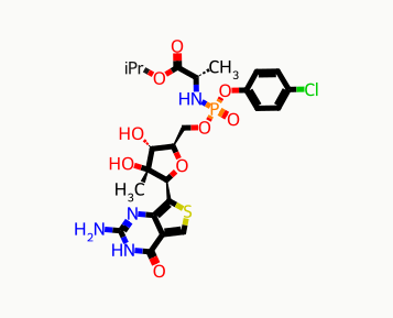 CC(C)OC(=O)[C@H](C)NP(=O)(OC[C@H]1O[C@@H](c2scc3c(=O)[nH]c(N)nc23)[C@](C)(O)[C@@H]1O)Oc1ccc(Cl)cc1